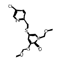 COCOc1cc(SCc2ccc(Cl)cn2)cn(COC)c1=O